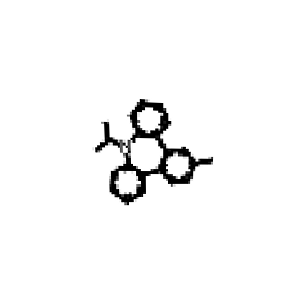 Cc1ccc2c(c1)-c1ccccc1N(C(C)C)c1ccccc1-2